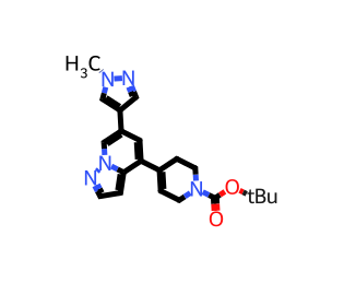 Cn1cc(-c2cc(C3=CCN(C(=O)OC(C)(C)C)CC3)c3ccnn3c2)cn1